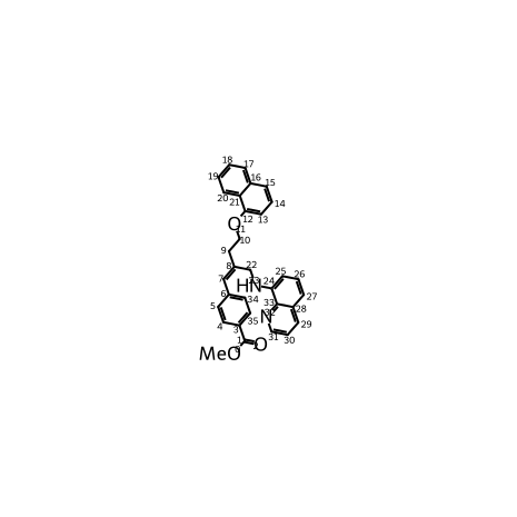 COC(=O)c1ccc(C=C(CCOc2cccc3ccccc23)CNc2cccc3cccnc23)cc1